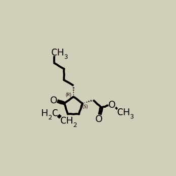 C=C.CCCCC[C@H]1C(=O)CC[C@H]1CC(=O)OC